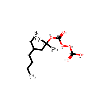 CCCCC(CC)CC(C)(C)OC(=O)OOC(=O)O